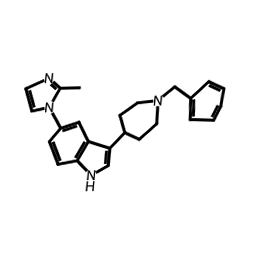 Cc1nccn1-c1ccc2[nH]cc(C3CCN(Cc4ccccc4)CC3)c2c1